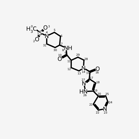 CS(=O)(=O)N1CCC(NC(=O)C2CCN(C(=O)c3cc(-c4ccncc4)[nH]n3)CC2)CC1